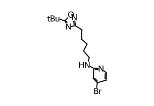 CC(C)(C)c1nc(CCCCCNc2cc(Br)ccn2)no1